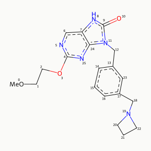 COCCOc1ncc2[nH]c(=O)n(Cc3cccc(CN4CCC4)c3)c2n1